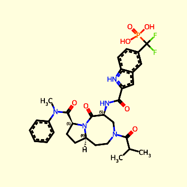 CC(C)C(=O)N1CC[C@H]2CC[C@@H](C(=O)N(C)c3ccccc3)N2C(=O)[C@@H](NC(=O)c2cc3cc(C(F)(F)P(=O)(O)O)ccc3[nH]2)C1